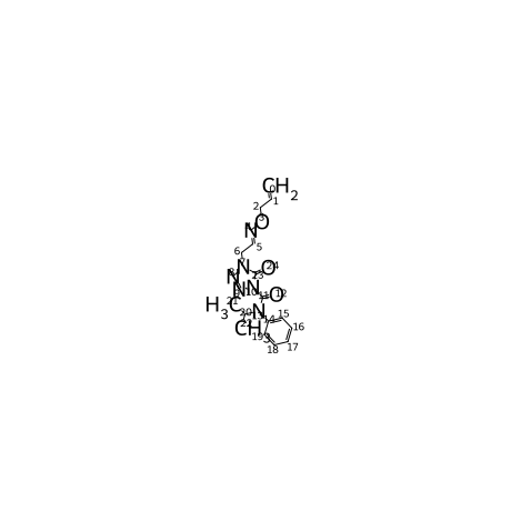 C=CCON=CCn1nnn(C(=O)N(c2ccccc2)C(C)C)c1=O